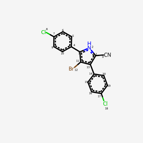 N#Cc1[nH]c(-c2ccc(Cl)cc2)c(Br)c1-c1ccc(Cl)cc1